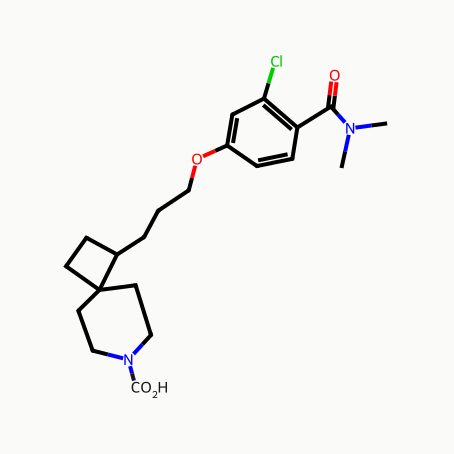 CN(C)C(=O)c1ccc(OCCCC2CCC23CCN(C(=O)O)CC3)cc1Cl